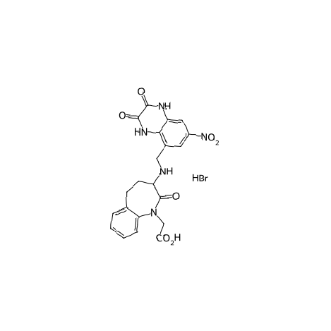 Br.O=C(O)CN1C(=O)C(NCc2cc([N+](=O)[O-])cc3[nH]c(=O)c(=O)[nH]c23)CCc2ccccc21